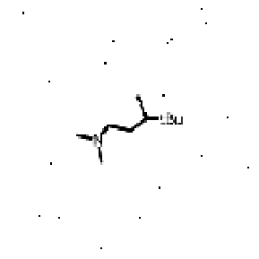 CC(CCN(C)C)C(C)(C)C